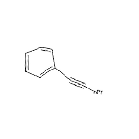 [CH2]CCC#Cc1ccccc1